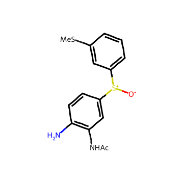 CSc1cccc([S+]([O-])c2ccc(N)c(NC(C)=O)c2)c1